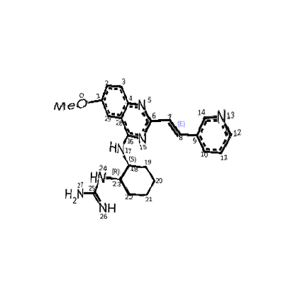 COc1ccc2nc(/C=C/c3cccnc3)nc(N[C@H]3CCCC[C@H]3NC(=N)N)c2c1